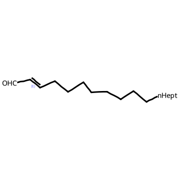 CCCCCCCCCCCCCCC/C=C/C=O